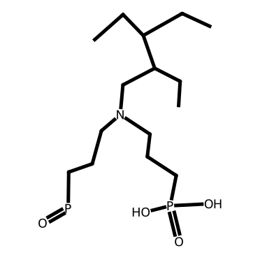 CCC(CC)C(CC)CN(CCCP=O)CCCP(=O)(O)O